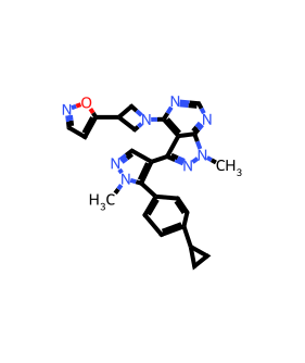 Cn1ncc(-c2nn(C)c3ncnc(N4CC(c5ccno5)C4)c23)c1-c1ccc(C2CC2)cc1